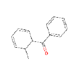 CC1C=CC=CC1C(=O)c1ccccc1